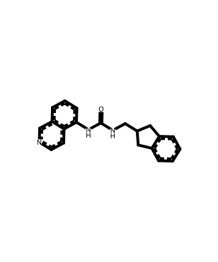 O=C(NCC1Cc2ccccc2C1)Nc1cccc2cnccc12